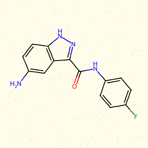 Nc1ccc2[nH]nc(C(=O)Nc3ccc(F)cc3)c2c1